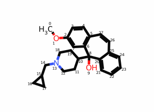 COc1ccc2c(c1)C(O)(C1CCN(CC3CC3)CC1)c1ccccc1C=C2